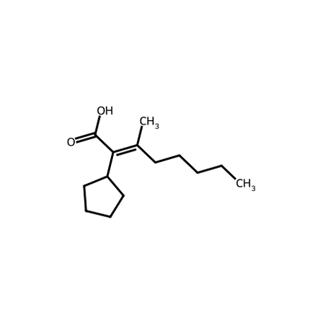 CCCCCC(C)=C(C(=O)O)C1CCCC1